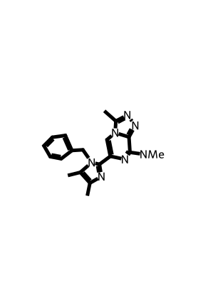 CNc1nc(-c2nc(C)c(C)n2Cc2ccccc2)cn2c(C)nnc12